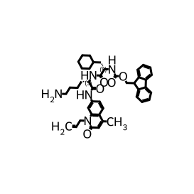 C=CCn1c(=O)cc(C)c2ccc(NC(=O)[C@H](CCCCN)NC(=O)[C@H](CC3CCCCC3)NC(=O)OCC3c4ccccc4-c4ccccc43)cc21